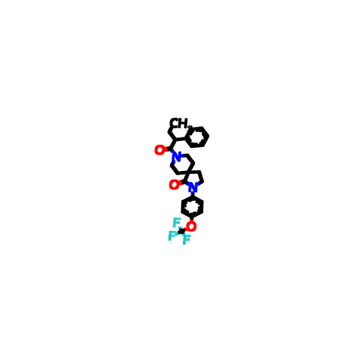 CCC(C(=O)N1CCC2(CC1)CCN(c1ccc(OC(F)(F)F)cc1)C2=O)c1ccccc1